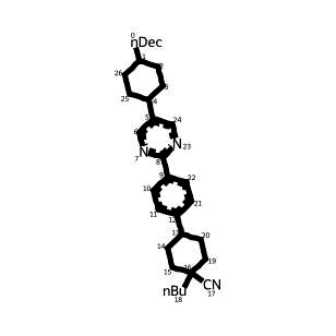 CCCCCCCCCCC1CCC(c2cnc(-c3ccc(C4CCC(C#N)(CCCC)CC4)cc3)nc2)CC1